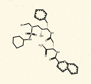 CC(C)CN(C[C@@H](O)[C@H](Cc1ccccc1)NC(=O)C[C@H](NC(=O)c1ccc2ccccc2n1)C(N)=O)S(=O)(=O)NC1CCCCC1